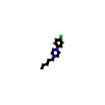 [CH2]CCCCN1CCN(c2ccc(Cl)cc2)CC1